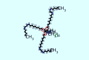 CCCCC/C=C\C/C=C\CCCCCCCCOCC(COCCCCCCCC/C=C\C/C=C\CCCCC)(COCCCCCCCC/C=C\C/C=C\CCCCC)C[N+](C)(C)C.[Cl-]